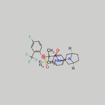 CC(C)(Oc1ccc(F)cc1C(F)(F)F)C(=O)N[C@H]1C[C@H]2CC[C@@H](C1)N2c1ccc(S(C)(=O)=O)cc1